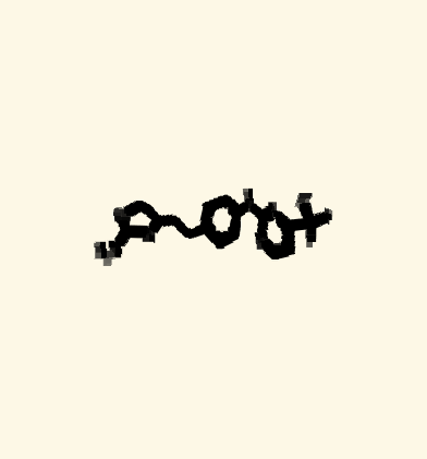 NC1=NC(CCc2ccc(Nc3nccc(C(F)(F)F)n3)cc2)CO1